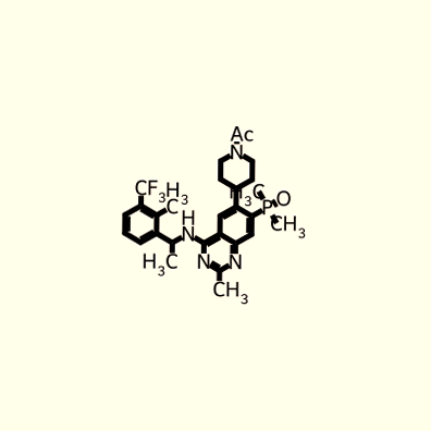 CC(=O)N1CCC(c2cc3c(NC(C)c4cccc(C(F)(F)F)c4C)nc(C)nc3cc2P(C)(C)=O)CC1